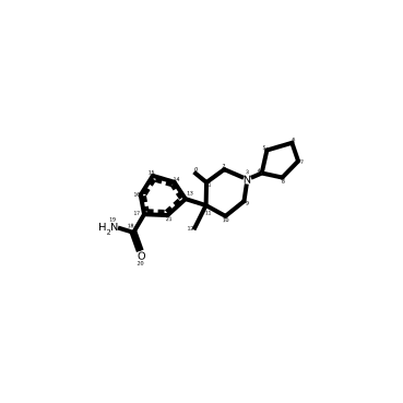 CC1CN(C2CCCC2)CCC1(C)c1cccc(C(N)=O)c1